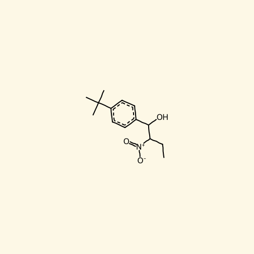 CCC(C(O)c1ccc(C(C)(C)C)cc1)[N+](=O)[O-]